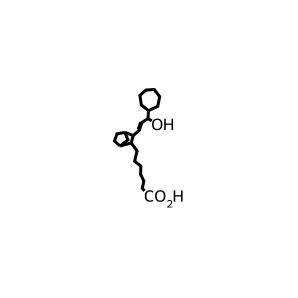 O=C(O)CCCCCCC1C2CCC(C2)C1/C=C/C(O)C1CCCCCC1